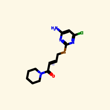 Nc1cc(Cl)nc(SC/C=C/C(=O)N2CCCCC2)n1